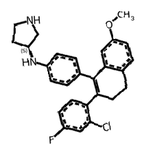 COc1ccc2c(c1)C(c1ccc(N[C@H]3CCNC3)cc1)=C(c1ccc(F)cc1Cl)CC2